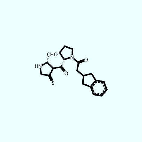 O=C[C@H]1NCC(=S)C1C(=O)[C@@H]1CCCN1C(=O)CC1Cc2ccccc2C1